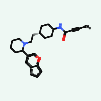 CC#CC(=O)N[C@H]1CC[C@H](CCN2CCCCC2c2coc3cccc-3c2)CC1